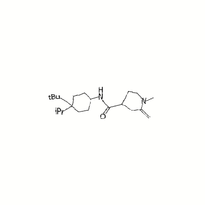 C=C1CC(C(=O)NC2CCC(C(C)C)(C(C)(C)C)CC2)CCN1C